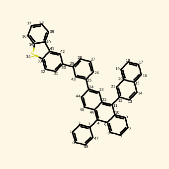 c1ccc(-c2c3ccccc3c(-c3ccc4ccccc4c3)c3cc(-c4cccc(-c5ccc6sc7ccccc7c6c5)c4)ccc23)cc1